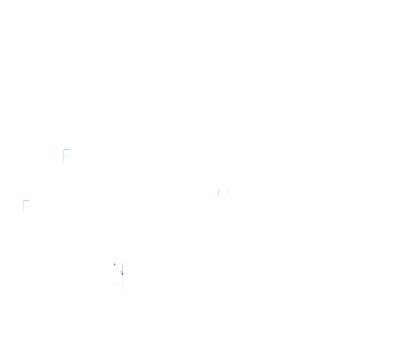 FC1(F)CNC(COCC2CCCCC2)C1